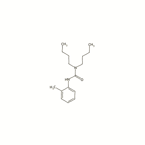 CCCCN(CCCC)C(=O)Nc1ccccc1C